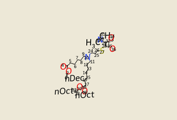 CCCCCCCCCCCOC(=O)CCCCCN(CCCCCCCC(=O)OC(CCCCCCCC)CCCCCCCC)CCCSc1c(N(C)C)c(=O)c1=O